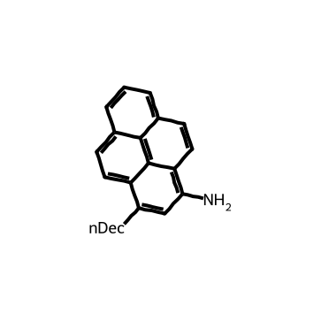 CCCCCCCCCCc1cc(N)c2ccc3cccc4ccc1c2c34